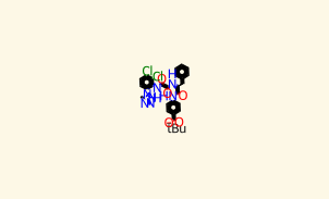 CC(C)(C)OC(=O)c1ccc(NC(=O)[C@H](Cc2ccccc2)NC(=O)C(=O)Nc2c(-n3cnnn3)ccc(Cl)c2Cl)cc1